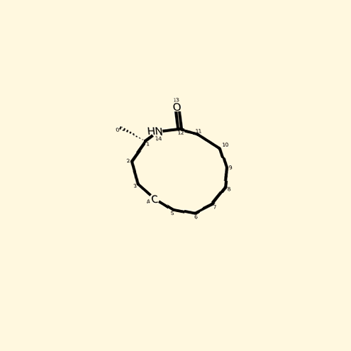 C[C@H]1CCCCCCCCCCC(=O)N1